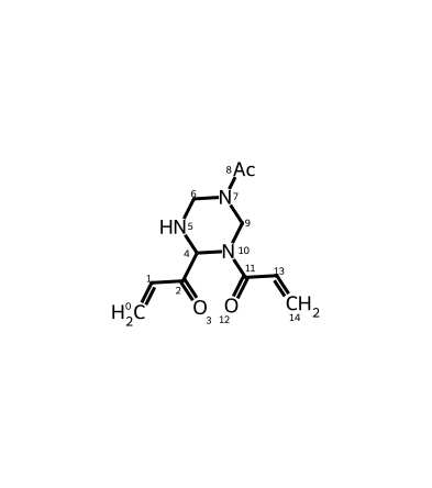 C=CC(=O)C1NCN(C(C)=O)CN1C(=O)C=C